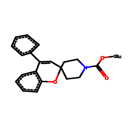 CC(C)(C)OC(=O)N1CCC2(C=C(c3ccccc3)c3ccccc3O2)CC1